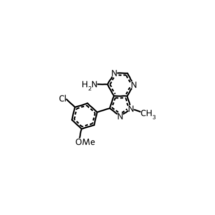 COc1cc(Cl)cc(-c2nn(C)c3ncnc(N)c23)c1